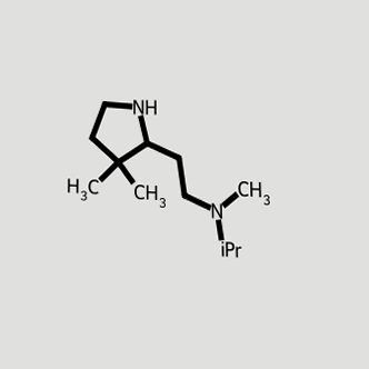 CC(C)N(C)CCC1NCCC1(C)C